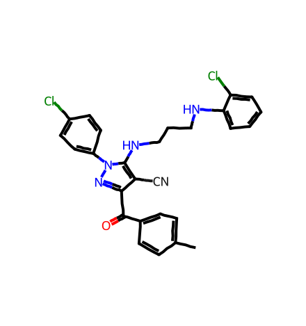 Cc1ccc(C(=O)c2nn(-c3ccc(Cl)cc3)c(NCCCNc3ccccc3Cl)c2C#N)cc1